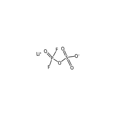 O=P(F)(F)OS(=O)(=O)[O-].[Li+]